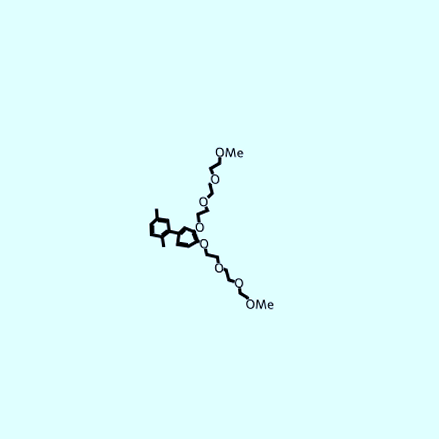 COCCOCCOCCOc1ccc(-c2cc(C)ccc2C)cc1OCCOCCOCCOC